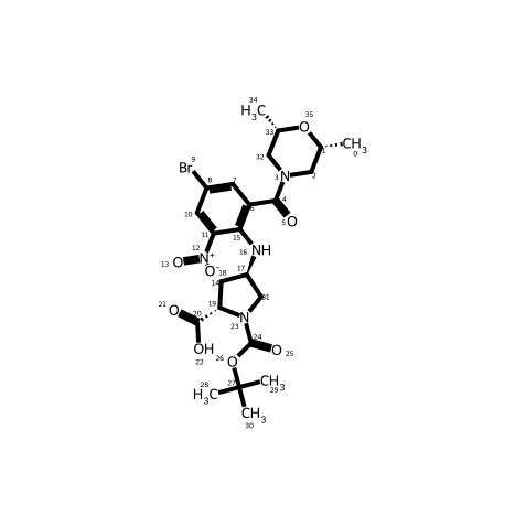 C[C@@H]1CN(C(=O)c2cc(Br)cc([N+](=O)[O-])c2N[C@@H]2C[C@@H](C(=O)O)N(C(=O)OC(C)(C)C)C2)C[C@H](C)O1